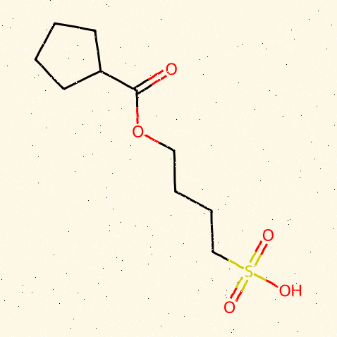 O=C(OCCCCS(=O)(=O)O)C1CCCC1